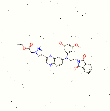 CCOC(=O)Cn1cc(-c2cnc3ccc(N(CCN4C(=O)c5ccccc5C4=O)c4cc(OC)cc(OC)c4)cc3n2)cn1